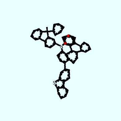 CC1(c2ccccc2)c2ccccc2-c2ccc(N(c3ccc(-c4ccc5c(c4)sc4ccccc45)cc3)c3ccccc3-c3ccccc3-c3ccccc3-c3ccccc3)cc21